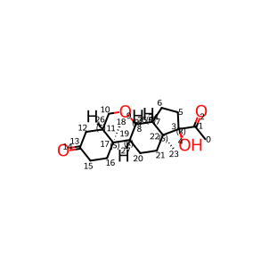 CC(=O)[C@@]1(O)CC[C@H]2[C@@H]3OC[C@H]4CC(=O)CC[C@]4(C)[C@H]3CC[C@@]21C